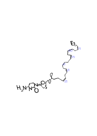 CC/C=C\C/C=C\C/C=C\C/C=C\C/C=C\C/C=C\CCC(=O)OC[C@@H]1O[C@H](n2ccc(N)nc2=O)CS1